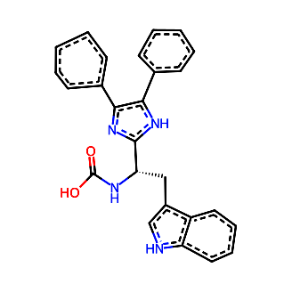 O=C(O)N[C@@H](Cc1c[nH]c2ccccc12)c1nc(-c2ccccc2)c(-c2ccccc2)[nH]1